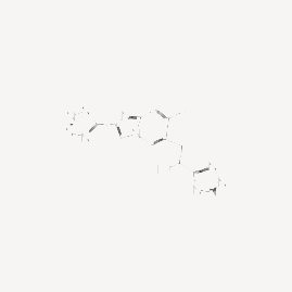 OC(Cc1cn2cc(-c3nnn[nH]3)nc2cc1Br)c1nnn[nH]1